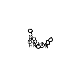 O=C(Nc1ccc(Cc2nc3cc4ccccc4cc3[nH]2)cc1)C1CCCN1C(=O)OCc1ccccc1